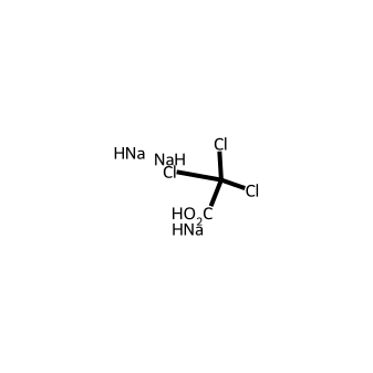 O=C(O)C(Cl)(Cl)Cl.[NaH].[NaH].[NaH]